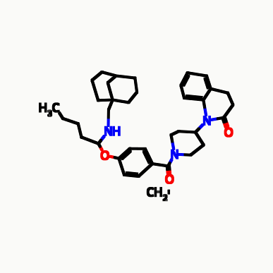 CCCCC(NCC12CCCC(CCC1)C2)Oc1ccc(C(=O)N2CCC(N3C(=O)CCc4ccccc43)CC2)cc1.[CH2]